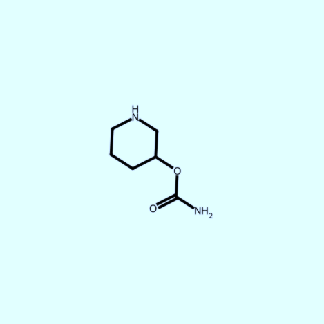 NC(=O)OC1CCCNC1